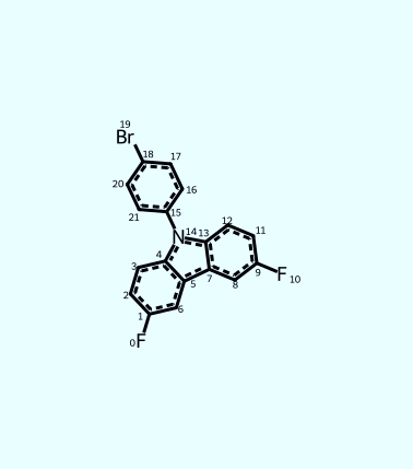 Fc1ccc2c(c1)c1cc(F)ccc1n2-c1ccc(Br)cc1